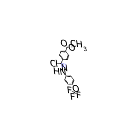 COC(=O)c1ccc(/C(Cl)=N/Nc2ccc(OC(F)(F)F)cc2)cc1